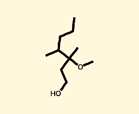 CCCC(C)C(C)(CCO)OC